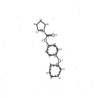 O=C(Oc1ccc(Oc2ccccc2)cc1)N1CCCC1